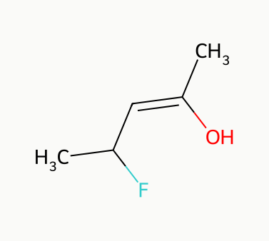 CC(O)=CC(C)F